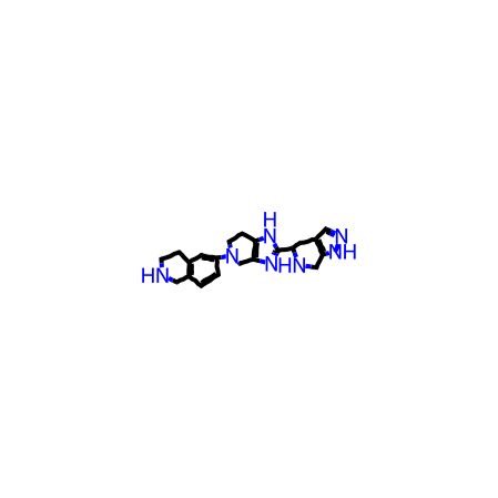 c1cc2c(cc1N1CCc3[nH]c(C4Cc5cn[nH]c5CN4)nc3C1)CCNC2